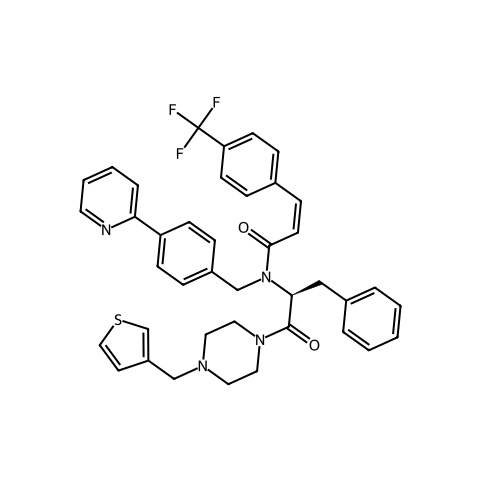 O=C([C@H](Cc1ccccc1)N(Cc1ccc(-c2ccccn2)cc1)C(=O)/C=C\c1ccc(C(F)(F)F)cc1)N1CCN(Cc2ccsc2)CC1